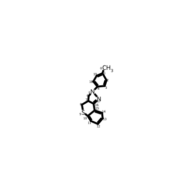 Cc1ccc(N2CC3CSc4ccccc4C3=N2)cc1